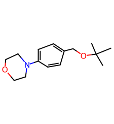 CC(C)(C)OCc1ccc(N2CCOCC2)cc1